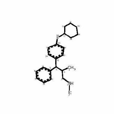 CCNCC(C)C(c1ccccc1)c1ccc(SC2CCCCC2)cc1